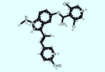 CC(Oc1ccc2c(c1)c(/C(F)=C/c1ccc(C=O)nc1)nn2PI)c1c(Cl)cncc1Cl